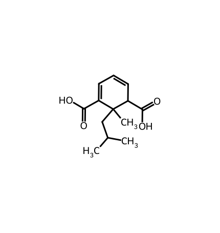 CC(C)CC1(C)C(C(=O)O)=CC=CC1C(=O)O